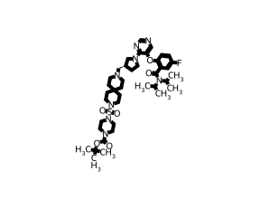 CC(C)N(C(=O)c1cc(F)ccc1Oc1cncnc1N1CC[C@H](CN2CCC3(CC2)CCN(S(=O)(=O)N2CCN(C(=O)OC(C)(C)C)CC2)CC3)C1)C(C)C